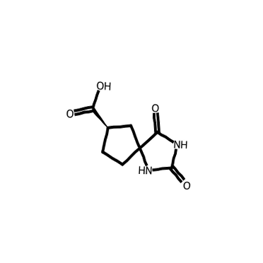 O=C1NC(=O)C2(CC[C@@H](C(=O)O)C2)N1